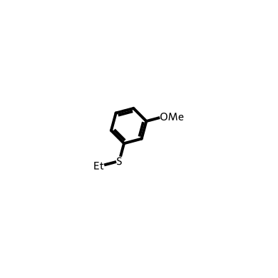 CCSc1cccc(OC)c1